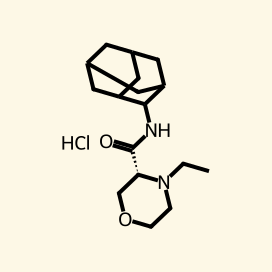 CCN1CCOC[C@@H]1C(=O)NC1C2CC3CC(C2)CC1C3.Cl